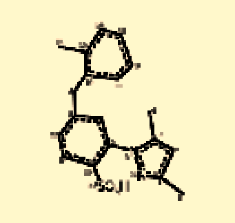 Cc1cc(C)n(-c2cc(Cc3ccccc3C)ccc2S(=O)(=O)O)n1